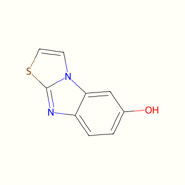 Oc1ccc2nc3sccn3c2c1